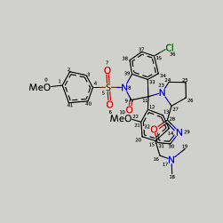 COc1ccc(S(=O)(=O)N2C(=O)C(c3ccc(CN(C)C)cc3OC)(N3CCCC3c3ncco3)c3cc(Cl)ccc32)cc1